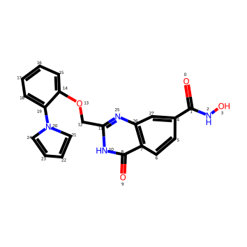 O=C(NO)c1ccc2c(=O)[nH]c(COc3ccccc3-n3cccc3)nc2c1